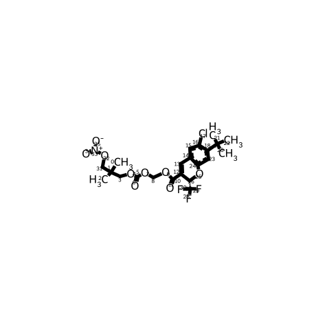 CC(C)(COC(=O)OCOC(=O)C1=Cc2cc(Cl)c(C(C)(C)C)cc2O[C@@H]1C(F)(F)F)CO[N+](=O)[O-]